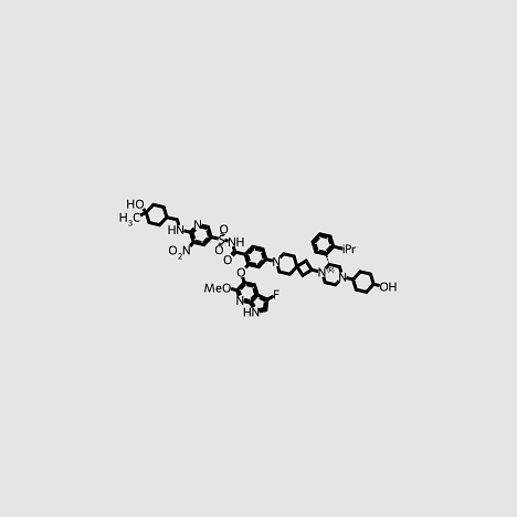 COc1nc2[nH]cc(F)c2cc1Oc1cc(N2CCC3(CC2)CC(N2CCN(C4CCC(O)CC4)C[C@H]2c2ccccc2C(C)C)C3)ccc1C(=O)NS(=O)(=O)c1cnc(NCC2CCC(C)(O)CC2)c([N+](=O)[O-])c1